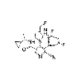 CC(NC(=O)c1cnc(C#N)c(-c2cc(F)cc(F)c2)c1N1CC[C@@](N)(CF)C1)C1CC1